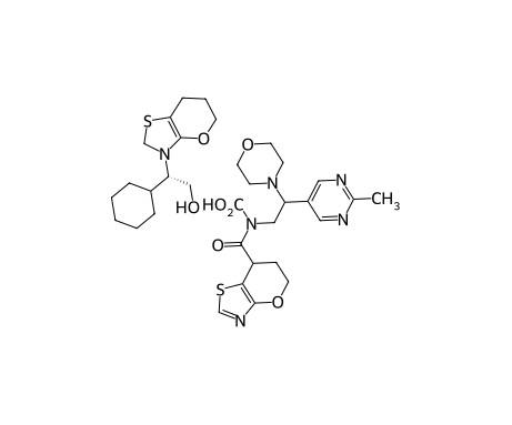 Cc1ncc(C(CN(C(=O)O)C(=O)C2CCOc3ncsc32)N2CCOCC2)cn1.OC[C@H](C1CCCCC1)N1CSC2=C1OCCC2